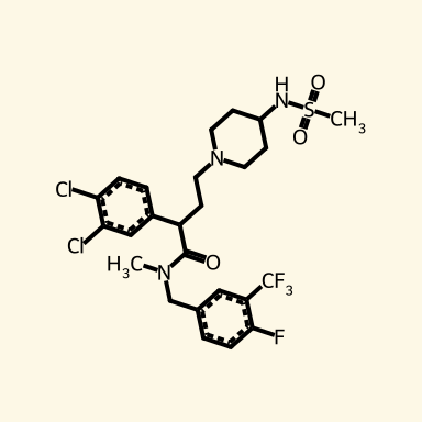 CN(Cc1ccc(F)c(C(F)(F)F)c1)C(=O)C(CCN1CCC(NS(C)(=O)=O)CC1)c1ccc(Cl)c(Cl)c1